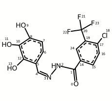 O=C(N/N=C\c1ccc(O)c(O)c1O)c1ccc(Cl)c(C(F)(F)F)c1